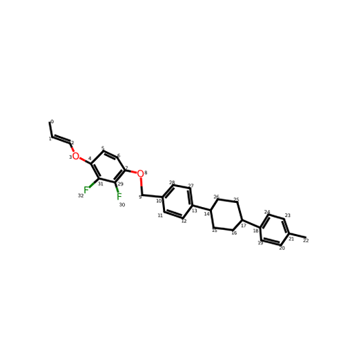 C/C=C/Oc1ccc(OCc2ccc(C3CCC(c4ccc(C)cc4)CC3)cc2)c(F)c1F